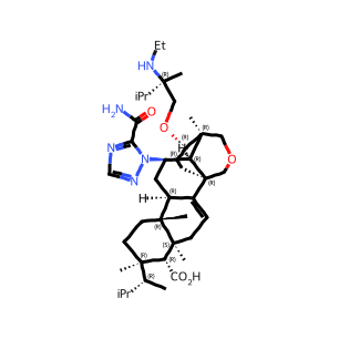 CCN[C@@](C)(CO[C@H]1[C@H](n2ncnc2C(N)=O)C[C@@]23COC[C@@]1(C)[C@@H]2CC[C@H]1C3=CC[C@@]2(C)[C@H](C(=O)O)[C@@](C)([C@H](C)C(C)C)CC[C@]12C)C(C)C